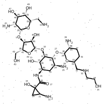 NC[C@@H]1O[C@H](O[C@H]2[C@@H](O)[C@H](O[C@@H]3[C@@H](O)[C@H](NC(=O)C4(O)CC4N)C[C@H](N)[C@H]3O[C@H]3O[C@H](CNCCO)CC[C@H]3N)O[C@@H]2CO)[C@H](N)[C@@H](O)[C@@H]1O